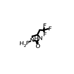 O=C1NC(CC(F)(F)F)CN1P